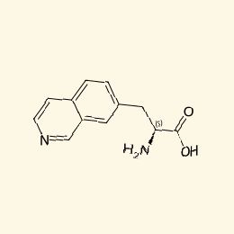 N[C@@H](Cc1ccc2ccncc2c1)C(=O)O